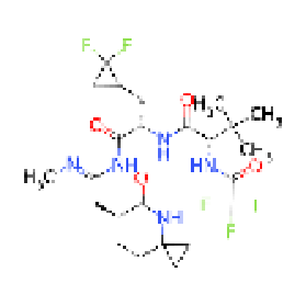 C/N=C(\C[C@@H]1CCC2(CC2)NC1=O)NC(=O)[C@H](CC1CC1(F)F)NC(=O)[C@@H](NC(=O)C(F)(F)F)C(C)(C)C